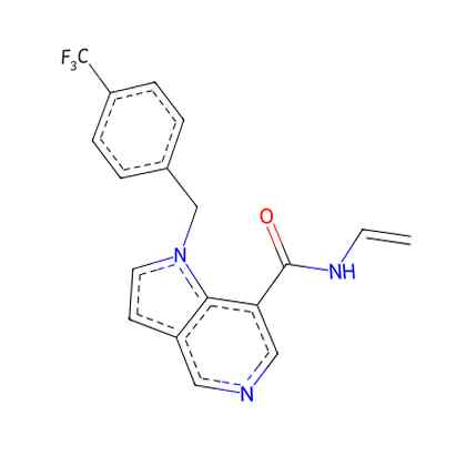 C=CNC(=O)c1cncc2ccn(Cc3ccc(C(F)(F)F)cc3)c12